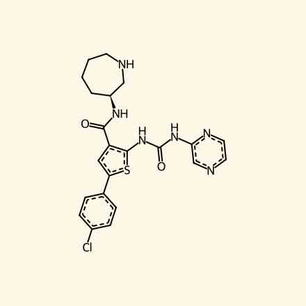 O=C(Nc1cnccn1)Nc1sc(-c2ccc(Cl)cc2)cc1C(=O)N[C@H]1CCCCNC1